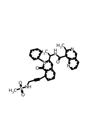 Cc1ncc2cccnc2c1C(=O)NC(C)c1cc2cccc(C#CCNS(C)(=O)=O)c2c(=O)n1-c1ccccc1